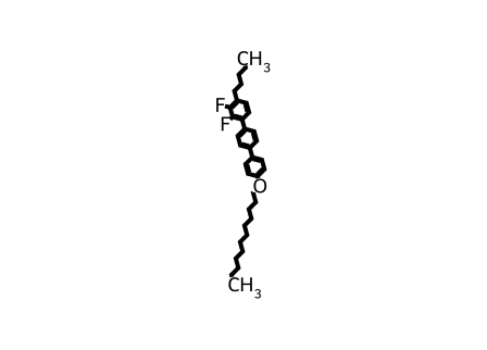 CCCCCCCCCCCCOc1ccc(-c2ccc(-c3ccc(CCCCC)c(F)c3F)cc2)cc1